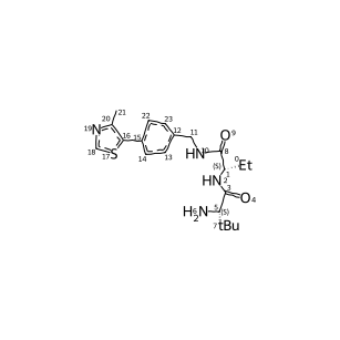 CC[C@H](NC(=O)[C@@H](N)C(C)(C)C)C(=O)NCc1ccc(-c2scnc2C)cc1